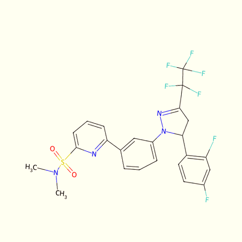 CN(C)S(=O)(=O)c1cccc(-c2cccc(N3N=C(C(F)(F)C(F)(F)F)CC3c3ccc(F)cc3F)c2)n1